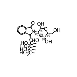 CC(=O)O.CC(=O)O.CC(=O)O.CC(=O)O.O=C1c2ccccc2C(=O)N1[C@@H]1[C@@H](O)[C@H](O)[C@@H](CO)O[C@@H]1O